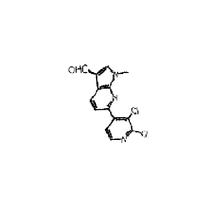 Cn1cc(C=O)c2ccc(-c3ccnc(Cl)c3Cl)nc21